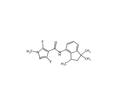 CC1CC(C)(C)c2cccc(NC(=O)c3c(F)nn(C)c3F)c21